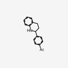 CC(=O)c1ccc(C2CCc3ccccc3N2)cc1